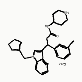 Cc1cccc(C(CC(=O)NC2CCNCC2)c2cn(CC3CCCC3)c3ccccc23)c1.Cl